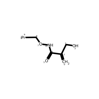 C=C(CO)C(=O)NOCC(C)C